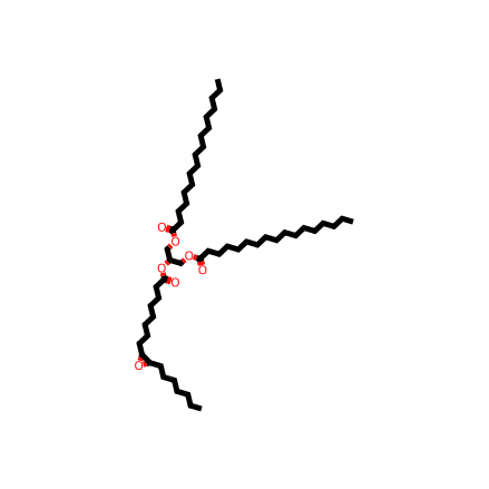 CCCCCCCCCCCCCCCCC(=O)OCC(COC(=O)CCCCCCCCCCCCCCCC)OC(=O)CCCCCCCC1OC1CCCCCCC